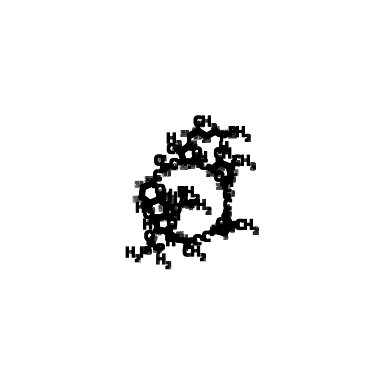 C=C1CCC2CC(=C)C(CC[C@H]3C[C@@H](C)C(=C)C(C[C@@H]4O[C@H](C[C@H](C)CCPP)[C@H](C)C4CC(=O)CC4CC[C@@H]5O[C@@H]6[C@@H](O[C@H](C1)[C@@H]6OP(P)P)[C@@H](OP(P)P)[C@H]5O4)O3)O2